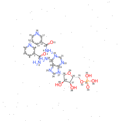 NC(=O)c1cccnc1.NC(=O)c1cccnc1.Nc1ncnc2c1ncn2[C@@H]1O[C@H](COP(=O)(O)O)[C@@H](O)[C@H]1O